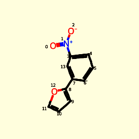 O=[N+]([O-])c1cc[c]c(-c2ccco2)c1